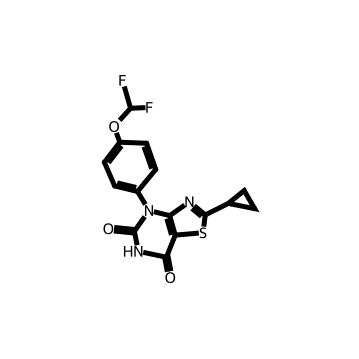 O=c1[nH]c(=O)n(-c2ccc(OC(F)F)cc2)c2nc(C3CC3)sc12